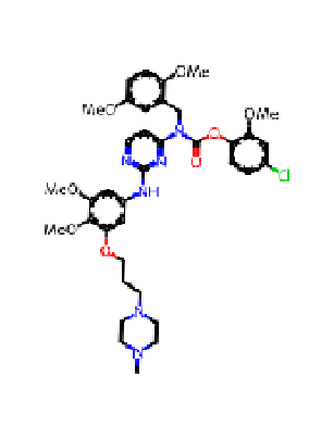 COc1ccc(OC)c(CN(C(=O)Oc2ccc(Cl)cc2OC)c2ccnc(Nc3cc(OC)c(OC)c(OCCCN4CCN(C)CC4)c3)n2)c1